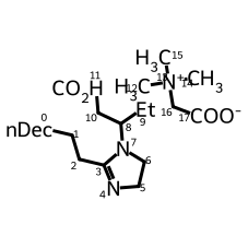 CCCCCCCCCCCCC1=NCCN1C(CC)CC(=O)O.C[N+](C)(C)CC(=O)[O-]